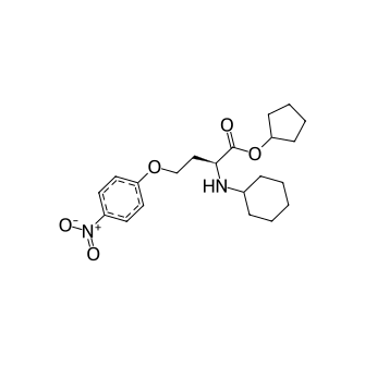 O=C(OC1CCCC1)[C@H](CCOc1ccc([N+](=O)[O-])cc1)NC1CCCCC1